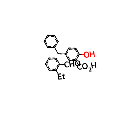 CCc1ccccc1C=O.O=C(O)c1cc(Cc2ccccc2)ccc1O